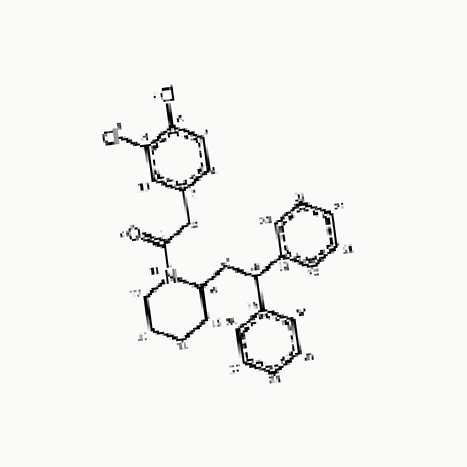 O=C(Cc1ccc(Cl)c(Cl)c1)N1CCCCC1CC(c1ccccc1)c1ccccc1